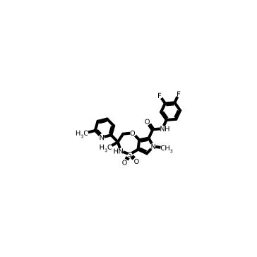 Cc1cccc(C2(C)COc3c(cn(C)c3C(=O)Nc3ccc(F)c(F)c3)S(=O)(=O)N2)n1